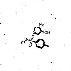 Cc1ccc(S(=O)(=O)[N-]Cl)cc1.OC1CCSC1.[Na+]